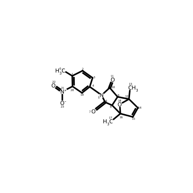 Cc1ccc(N2C(=O)C3C(C2=O)C2(C)C=CC3(C)O2)cc1[N+](=O)[O-]